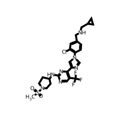 CS(=O)(=O)N1CCC(Nc2ncc(C(F)(F)F)c(-c3cn(-c4ccc(CNCC5CC5)cc4Cl)cn3)n2)CC1